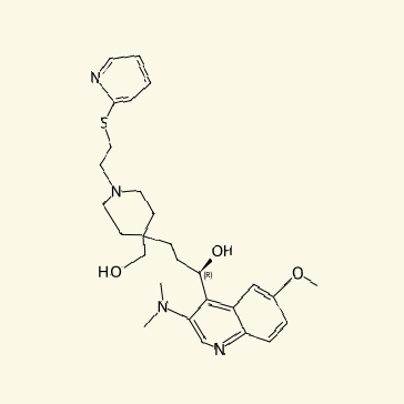 COc1ccc2ncc(N(C)C)c([C@H](O)CCC3(CO)CCN(CCSc4ccccn4)CC3)c2c1